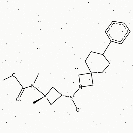 COC(=O)N(C)[C@]1(C)C[C@H]([S+]([O-])N2CC3(CCC(c4ccccc4)CC3)C2)C1